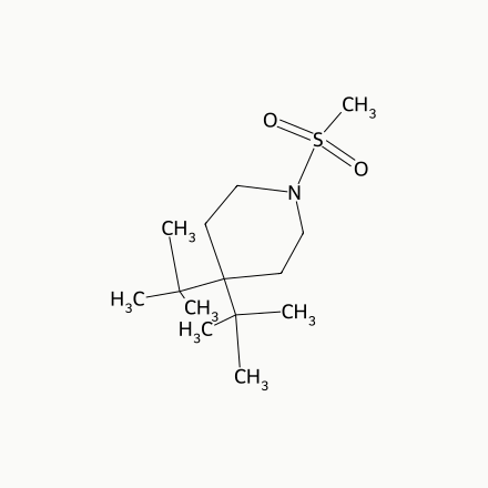 CC(C)(C)C1(C(C)(C)C)CCN(S(C)(=O)=O)CC1